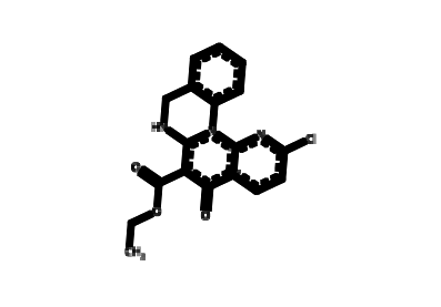 CCOC(=O)c1c2n(c3nc(Cl)ccc3c1=O)-c1ccccc1CN2